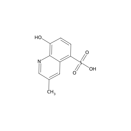 Cc1cnc2c(O)ccc(S(=O)(=O)O)c2c1